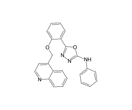 c1ccc(Nc2nnc(-c3ccccc3OCc3ccnc4ccccc34)o2)cc1